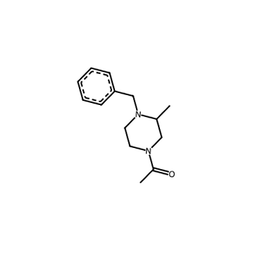 CC(=O)N1CCN(Cc2ccccc2)C(C)C1